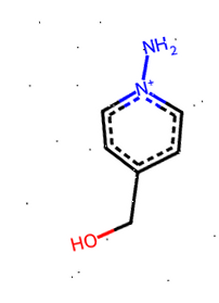 N[n+]1ccc(CO)cc1